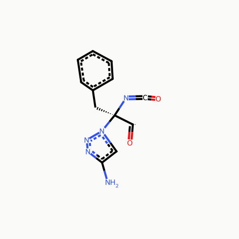 Nc1cn([C@@]([C]=O)(Cc2ccccc2)N=C=O)nn1